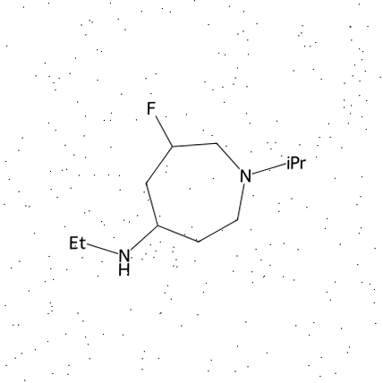 CCNC1CCN(C(C)C)CC(F)C1